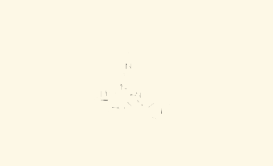 Clc1ccc(-n2ccc(NCCN3CCCCC3)n2)cc1Cl.O=C(O)C(=O)O